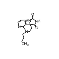 CCCCN1CCC2(NC(=O)NC2=O)c2cccnc21